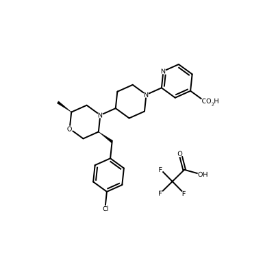 C[C@H]1CN(C2CCN(c3cc(C(=O)O)ccn3)CC2)[C@@H](Cc2ccc(Cl)cc2)CO1.O=C(O)C(F)(F)F